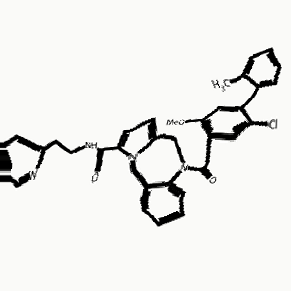 COc1cc(-c2ccccc2C)c(Cl)cc1C(=O)N1Cc2ccc(C(=O)NCCc3ccccn3)n2Cc2ccccc21